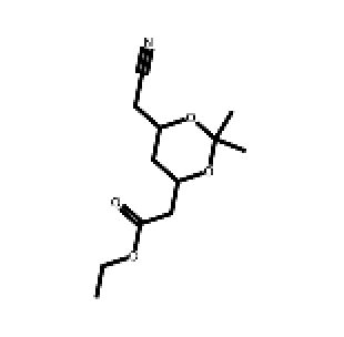 CCOC(=O)CC1CC(CC#N)OC(C)(C)O1